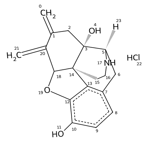 C=C1C[C@@]2(O)[C@H]3Cc4ccc(O)c5c4[C@@]2(CCN3)C(O5)C1=C.Cl